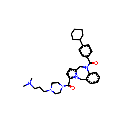 CN(C)CCCN1CCN(C(=O)c2ccc3n2Cc2ccccc2N(C(=O)c2ccc(C4CCCCC4)cc2)C3)CC1